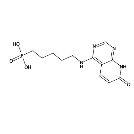 O=c1ccc2c(NCCCCCP(=O)(O)O)ncnc2[nH]1